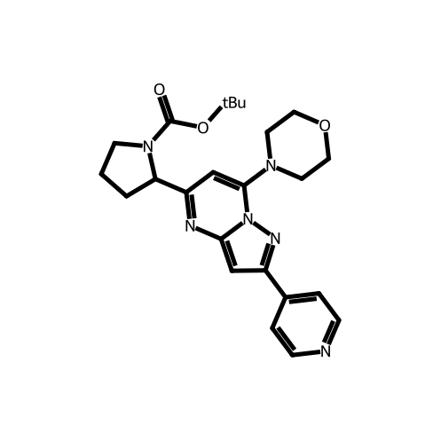 CC(C)(C)OC(=O)N1CCCC1c1cc(N2CCOCC2)n2nc(-c3ccncc3)cc2n1